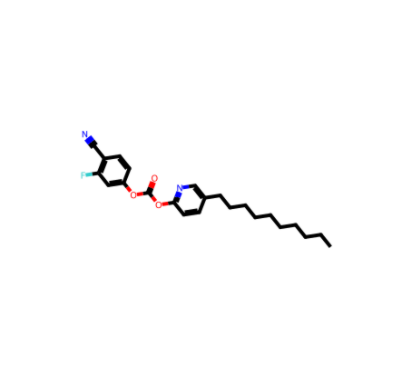 CCCCCCCCCCc1ccc(OC(=O)Oc2ccc(C#N)c(F)c2)nc1